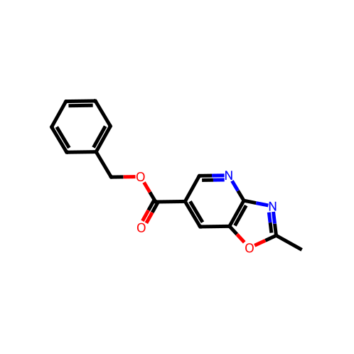 Cc1nc2ncc(C(=O)OCc3ccccc3)cc2o1